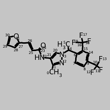 Cc1nn(C(C)c2ccc(C(F)(F)F)cc2C(F)(F)F)cc1NC(=O)C=Cc1ccco1